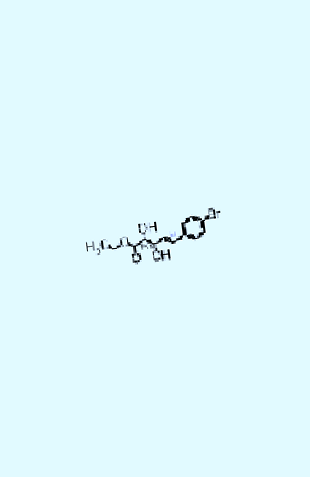 CCOC(=O)[C@H](O)[C@@H](O)/C=C/c1ccc(Br)cc1